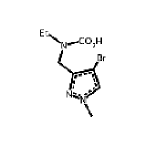 CCN(Cc1nn(C)cc1Br)C(=O)O